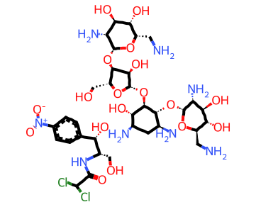 NC[C@@H]1O[C@H](O[C@H]2[C@@H](O)[C@H](O[C@@H]3[C@@H](O)[C@H](N)C[C@H](N)[C@H]3O[C@H]3O[C@H](CN)[C@@H](O)[C@H](O)[C@H]3N)O[C@@H]2CO)[C@H](N)[C@@H](O)[C@@H]1O.O=C(N[C@@H](CO)[C@@H](O)c1ccc([N+](=O)[O-])cc1)C(Cl)Cl